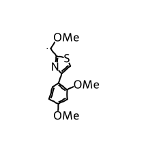 CO[CH]c1nc(-c2ccc(OC)cc2OC)cs1